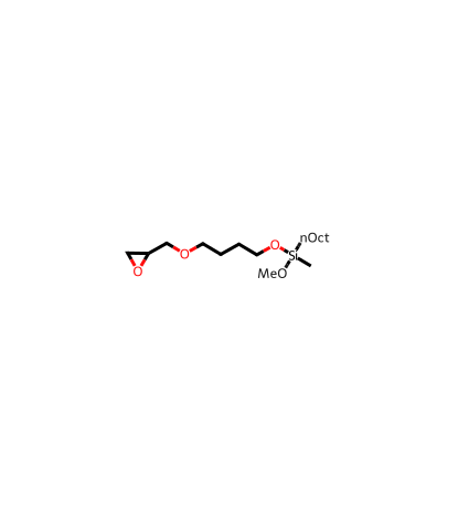 CCCCCCCC[Si](C)(OC)OCCCCOCC1CO1